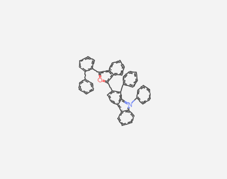 c1ccc(-c2ccccc2-c2oc(-c3ccc4c5ccccc5n(-c5ccccc5)c4c3-c3ccccc3)c3ccccc23)cc1